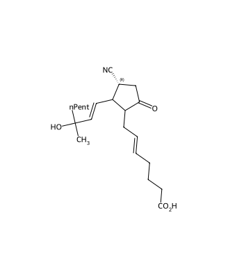 CCCCCC(C)(O)C=CC1C(CC=CCCCC(=O)O)C(=O)C[C@H]1C#N